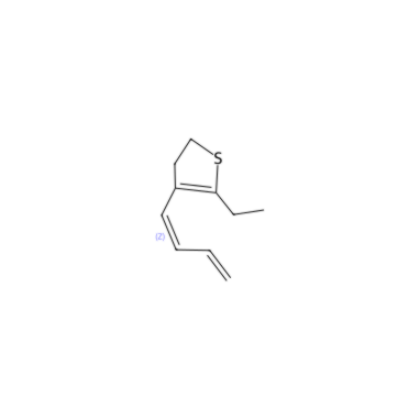 C=C/C=C\C1=C(CC)SCC1